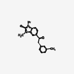 Cc1cccc(CC(=O)c2ccc3c(c2)n(C)c(=O)n3C(C)C)c1